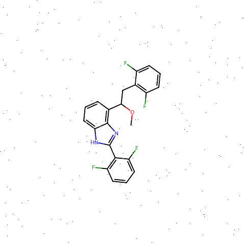 [CH2]OC(Cc1c(F)cccc1F)c1cccc2[nH]c(-c3c(F)cccc3F)nc12